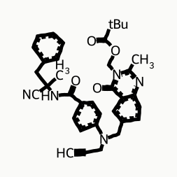 C#CCN(Cc1ccc2nc(C)n(COC(=O)C(C)(C)C)c(=O)c2c1)c1ccc(C(=O)NC(C)(C#N)Cc2ccccc2)cc1